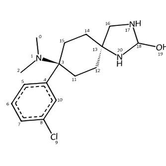 CN(C)[C@]1(c2cccc(Cl)c2)CC[C@]2(CC1)CNC(O)N2